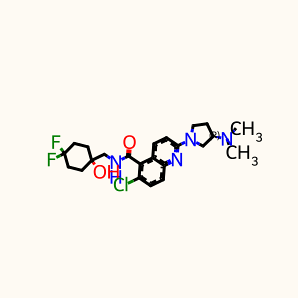 CN(C)[C@@H]1CCN(c2ccc3c(C(=O)NCC4(O)CCC(F)(F)CC4)c(Cl)ccc3n2)C1